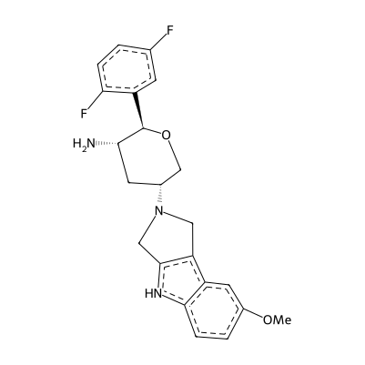 COc1ccc2[nH]c3c(c2c1)CN([C@H]1CO[C@H](c2cc(F)ccc2F)[C@@H](N)C1)C3